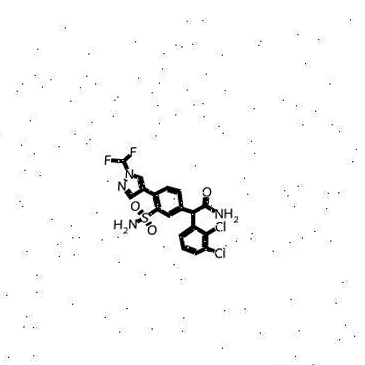 NC(=O)C(c1ccc(-c2cnn(C(F)F)c2)c(S(N)(=O)=O)c1)c1cccc(Cl)c1Cl